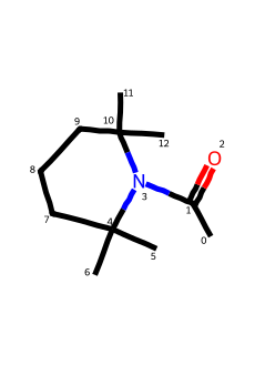 CC(=O)N1C(C)(C)CCCC1(C)C